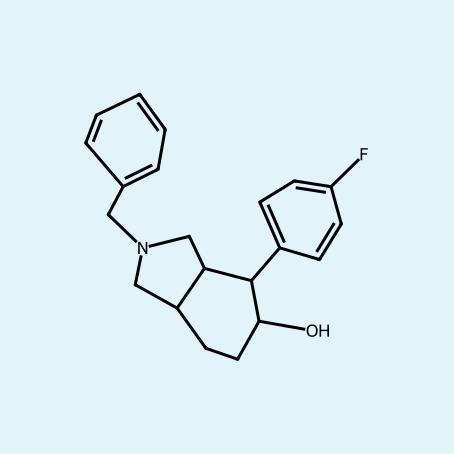 OC1CCC2CN(Cc3ccccc3)CC2C1c1ccc(F)cc1